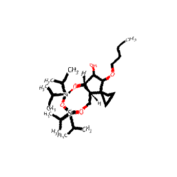 CCCCOC1C(O)[C@H]2O[Si](C(C)C)(C(C)C)O[Si](C(C)C)(C(C)C)OC[C@H]2C12CC2